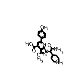 Cc1nn(C(C(N)=O)C2CCNCC2)c2nc(-c3ccc(O)cc3)cc(C(=O)O)c12